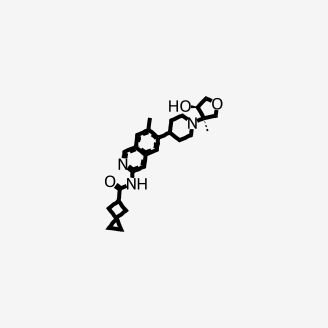 Cc1cc2cnc(NC(=O)C3CC4(CC4)C3)cc2cc1C1CCN([C@]2(C)COC[C@@H]2O)CC1